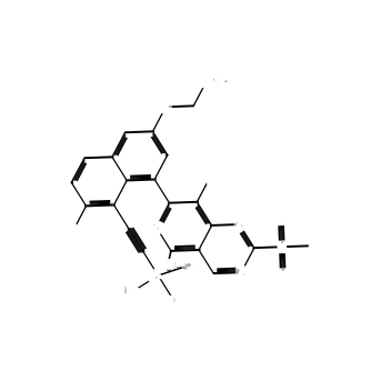 COCOc1cc(-c2nc(OC)c3cnc(S(C)(=O)=O)nc3c2F)c2c(C#C[Si](C(C)C)(C(C)C)C(C)C)c(F)ccc2c1